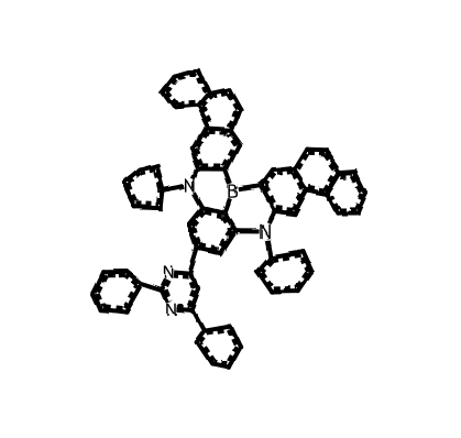 c1ccc(-c2cc(-c3cc4c5c(c3)N(c3ccccc3)c3cc6c(ccc7ccccc76)cc3B5c3cc5ccc6ccccc6c5cc3N4c3ccccc3)nc(-c3ccccc3)n2)cc1